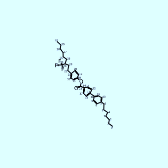 CCCCCCCc1ccc(-c2ccc(C(=O)Oc3ccc(CCC(CCCCCC)C(F)(F)F)cc3)cc2)cc1